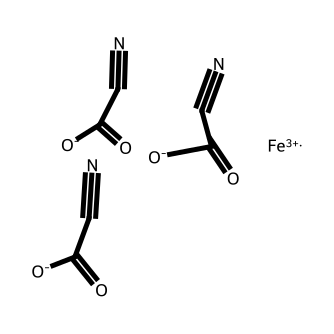 N#CC(=O)[O-].N#CC(=O)[O-].N#CC(=O)[O-].[Fe+3]